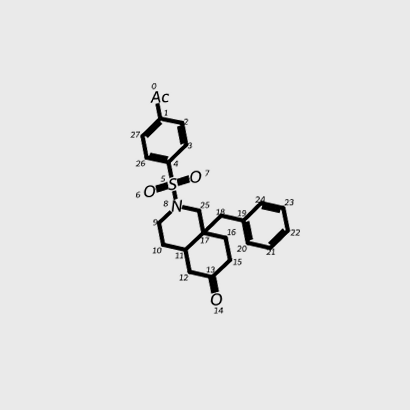 CC(=O)c1ccc(S(=O)(=O)N2CCC3CC(=O)CCC3(Cc3ccccc3)C2)cc1